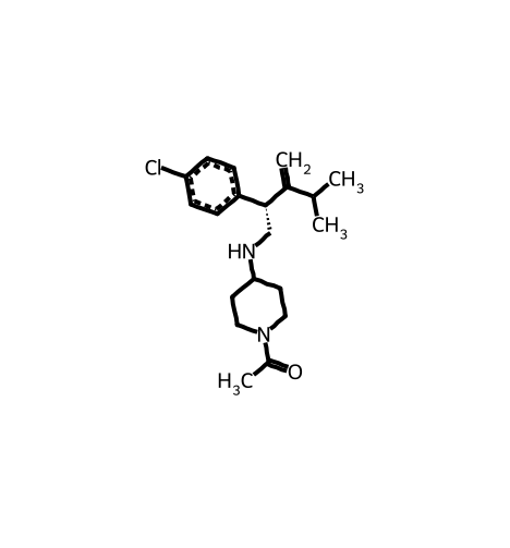 C=C(C(C)C)[C@H](CNC1CCN(C(C)=O)CC1)c1ccc(Cl)cc1